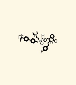 CCN(CC)CCN(Cc1ccc(-c2ccc(C(F)(F)F)cc2)cc1)C(=O)NOCC1C(CCc2ccc(F)cc2)=NC(=O)C2=C1CCC2